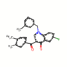 Cc1cccc(Cn2cc(C(=O)c3ccc(C)c(C)c3)c(=O)c3cc(F)ccc32)c1